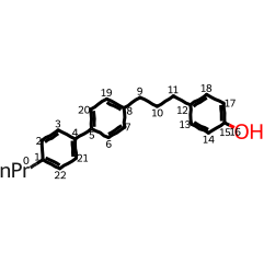 CCCc1ccc(-c2ccc(CCCc3ccc(O)cc3)cc2)cc1